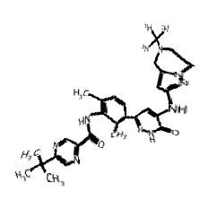 [2H]C([2H])([2H])N1CCn2nc(Nc3cc(-c4ccc(C)c(NC(=O)c5cnc(C(C)(C)C)cn5)c4C)n[nH]c3=O)cc2C1